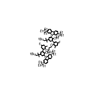 CC[Si](CC)(CC)c1ccc2c3ccc([Si](CC)(CC)CC)cc3n(-c3cc(C(C)(C)CC(C)(C)C)cc(-c4cc(F)cc(C)c4OCCCOc4c(C)cc(F)cc4-c4cc(C(C)(C)CC(C)(C)C)cc(-n5c6cc([Si](CC)(CC)CC)ccc6c6ccc([Si](CC)(CC)CC)cc65)c4O)c3O)c2c1